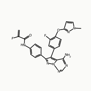 C=C(F)C(=O)Nc1ccc(-c2nn3ncnc(N)c3c2-c2ccc(Oc3ccn(C)n3)c(F)c2)cc1